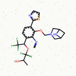 C=Nc1c(C(OC(F)(F)C(C)O)C(F)(F)F)ccc(-c2nccs2)c1OCN1CC2CC(C1)N2